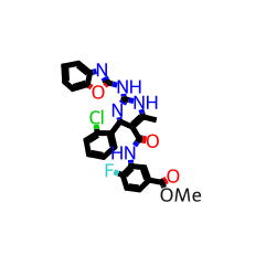 COC(=O)c1ccc(F)c(NC(=O)C2=C(C)NC(Nc3nc4ccccc4o3)=NC2c2ccccc2Cl)c1